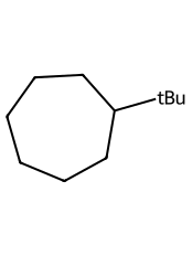 [CH2]C(C)(C)C1CCCCCC1